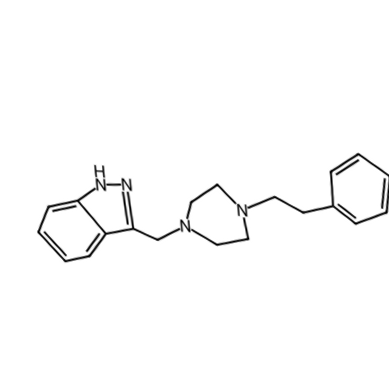 c1ccc(CCN2CCN(Cc3n[nH]c4ccccc34)CC2)cc1